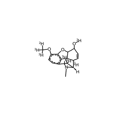 [2H]OC1C=C[C@@]2([2H])[C@@H]3N(C)CC[C@@]24c2c(ccc(OC([2H])([2H])[2H])c2OC14)C3([2H])[2H]